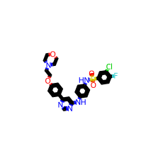 O=S(=O)(Nc1ccc(Nc2cc(-c3ccc(OCCN4CCOCC4)cc3)ncn2)cc1)c1ccc(F)c(Cl)c1